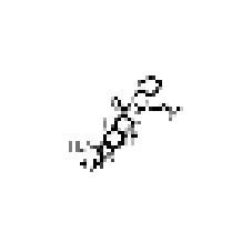 CN(C)CCNC(=O)N(CC1CCCCC1)C(=O)[C@@H]1C[C@@H]2Cc3c(sc(N)c3N)C[C@H]2N(C)C1